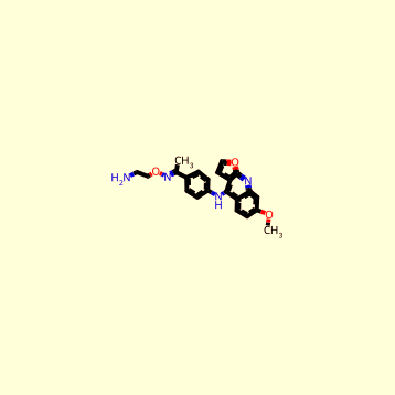 COc1ccc2c(Nc3ccc(/C(C)=N/OCCN)cc3)c3ccoc3nc2c1